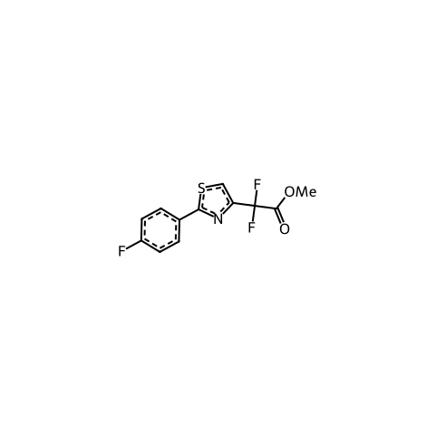 COC(=O)C(F)(F)c1csc(-c2ccc(F)cc2)n1